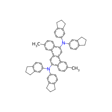 Cc1ccc2c(N(c3ccc4c(c3)CCC4)c3ccc4c(c3)CCC4)cc3c4cc(C)ccc4c(N(c4ccc5c(c4)CCC5)c4ccc5c(c4)CCC5)cc3c2c1